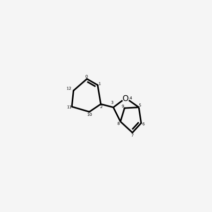 C1=CC(C2OC3C=CC2C3)CCC1